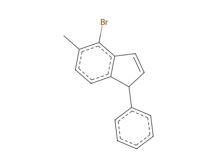 Cc1ccc2c(c1Br)C=CC2c1ccccc1